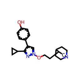 Oc1ccc(-c2cn(OCCC3CN4CCC3CC4)nc2C2CC2)cc1